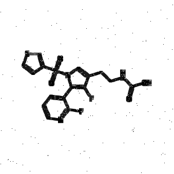 O=C(O)NCCc1cn(S(=O)(=O)c2ccsc2)c(-c2cccnc2F)c1F